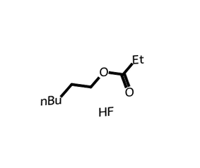 CCCCCCOC(=O)CC.F